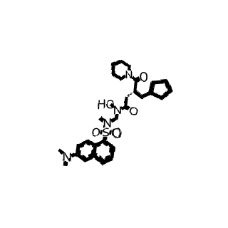 CN(C)c1ccc2c(S(=O)(=O)N(C)CN(O)C(=O)C[C@@H](CC3CCCC3)C(=O)N3CCCCC3)cccc2c1